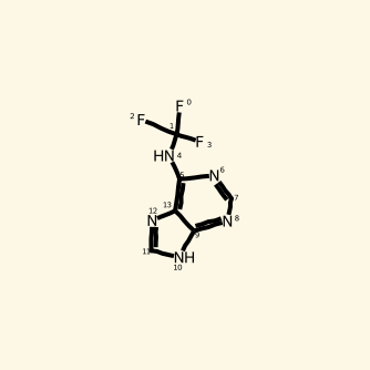 FC(F)(F)Nc1ncnc2[nH]cnc12